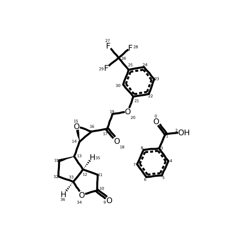 O=C(O)c1ccccc1.O=C1C[C@@H]2[C@H]([C@H]3OC3C(=O)COc3cccc(C(F)(F)F)c3)CC[C@@H]2O1